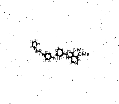 CNc1nc(-c2ccnc(Nc3ccc(OCCN4CCCC4)cc3)c2)nc2cncc(OC)c12